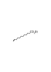 C=CCCCCCCCCCC(=O)OCC